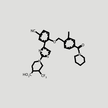 Cc1cc(C(=O)N2CCCCC2)ccc1COc1ccc(C#N)cc1-c1csc(N2CCC(C(=O)O)C(C(F)(F)F)C2)n1